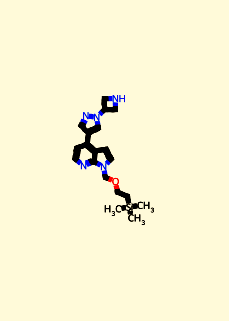 C[Si](C)(C)CCOCn1ccc2c(-c3cnn(C4CNC4)c3)ccnc21